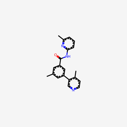 Cc1cc(C(=O)Nc2cccc(C)n2)cc(-c2cnccc2C)c1